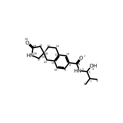 CC(C)C(O)NC(=O)c1ccc2c(c1)CC[C@]1(CNC(=O)C1)C2